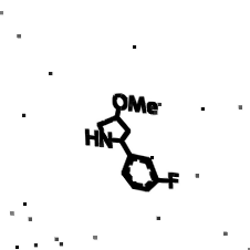 COC1CNC(c2cccc(F)c2)C1